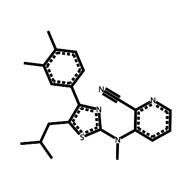 Cc1ccc(-c2nc(N(C)c3cccnc3C#N)sc2CC(C)C)cc1C